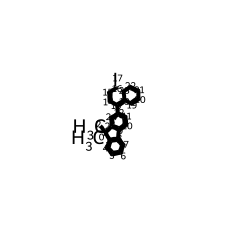 CC1(C)c2ccccc2-c2ccc(C(/C=C\CI)=C3\C=CC=CC3)cc21